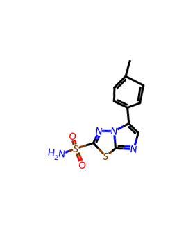 Cc1ccc(-c2cnc3sc(S(N)(=O)=O)nn23)cc1